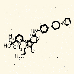 C=CCn1c(=O)c2cnc(Nc3ccc([C@H]4CC[C@H](N5CCCC5)CC4)cc3)nc2n1-c1cccc(C(C)(C)O)n1